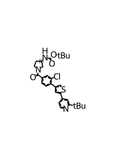 CC(C)(C)OC(=O)N[C@@H]1CCN(C(=O)c2ccc(-c3csc(-c4ccnc(C(C)(C)C)c4)c3)c(Cl)c2)C1